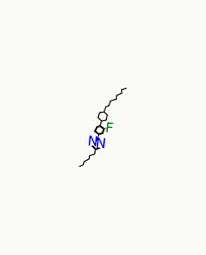 CCCCCCCCC1CCC(c2ccc(-c3ncc(CCCCCC)cn3)cc2F)CC1